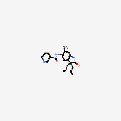 C=CCC1(CC=C)C(=O)Nc2cc([N+](=O)[O-])c(NC(=O)c3cccnc3)cc21